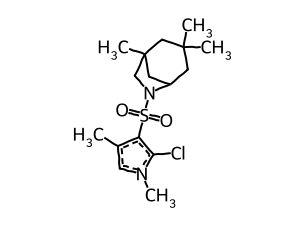 Cc1cn(C)c(Cl)c1S(=O)(=O)N1CC2(C)CC1CC(C)(C)C2